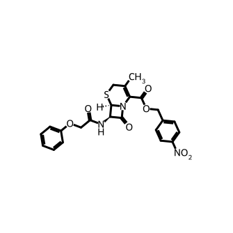 CC1=C(C(=O)OCc2ccc([N+](=O)[O-])cc2)N2C(=O)[C@@H](NC(=O)COc3ccccc3)[C@H]2SC1